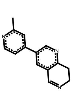 Cc1cc(-c2cnc3c(c2)C=NCC3)ccn1